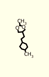 CC1CCC(CCC2COC(C)OC2)CC1